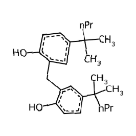 CCCC(C)(C)c1ccc(O)c(Cc2cc(C(C)(C)CCC)ccc2O)c1